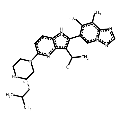 Cc1c(-c2[nH]c3ccc(N4CCN[C@@H](CC(C)C)C4)nc3c2C(C)C)cn2ncnc2c1C